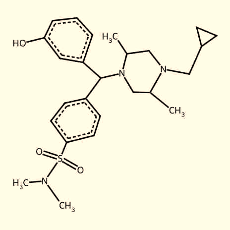 CC1CN(C(c2ccc(S(=O)(=O)N(C)C)cc2)c2cccc(O)c2)C(C)CN1CC1CC1